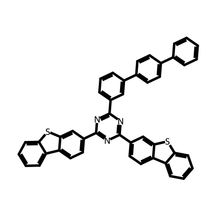 c1ccc(-c2ccc(-c3cccc(-c4nc(-c5ccc6c(c5)sc5ccccc56)nc(-c5ccc6c(c5)sc5ccccc56)n4)c3)cc2)cc1